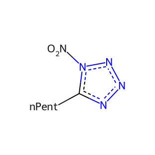 CCCCCc1nnnn1[N+](=O)[O-]